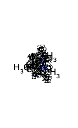 Cc1ccccc1N(c1cc(-c2ccccc2)cc(-c2ccccc2)c1C)c1cc(N(c2ccccc2C)c2cc(-c3ccccc3)cc(-c3ccccc3)c2C)c2ccc3cc(C(C)(C)C)cc4ccc1c2c43